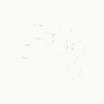 CC1=C2CCC3=C(C)[CH](c4cccc(-c5ccccc5)c43)[Hf]([CH3])([CH3])[CH]1c1cccc(-c3ccccc3)c12